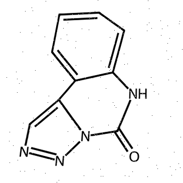 O=c1[nH]c2ccccc2c2cnnn12